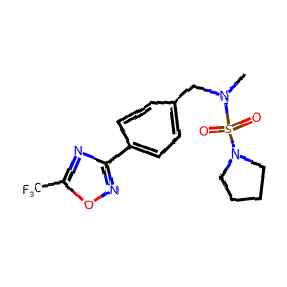 CN(Cc1ccc(-c2noc(C(F)(F)F)n2)cc1)S(=O)(=O)N1CCCC1